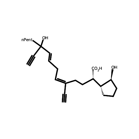 C#C/C(=C/CC=CC(O)(C#C)CCCCC)CC[C@H](C(=O)O)[C@H]1CCC[C@@H]1O